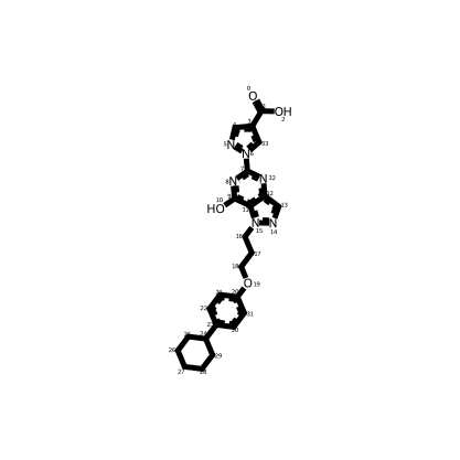 O=C(O)c1cnn(-c2nc(O)c3c(cnn3CCCOc3ccc(C4CCCCC4)cc3)n2)c1